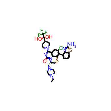 CCN1CCN(C[C@H]2CSc3c(-c4cccc5sc(N)nc45)c(Cl)cc4c(N5CCC(C(O)(O)C(F)(F)F)CC5)nc(=O)n2c34)CC1